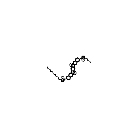 CCCCCCCCCCc1ccc(-c2ccc3cc4oc5cc6c(cc5c4cc3c2)oc2cc3ccc(-c4ccc(CCCC)o4)cc3cc26)o1